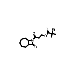 CCC(C)(C)C(=O)OCCC(=O)N1C(=O)C2CCCCCC21